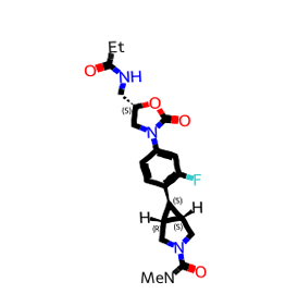 CCC(=O)NC[C@H]1CN(c2ccc([C@H]3[C@@H]4CN(C(=O)NC)C[C@@H]43)c(F)c2)C(=O)O1